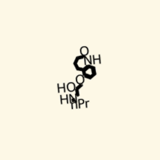 CCCNCC(O)COc1cccc2c1CCCC(=O)N2